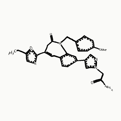 COc1ccc(CN2C(=O)CC(c3ncc(C)o3)=Cc3ccc(-c4cnn(CC(N)=O)c4)cc32)cc1